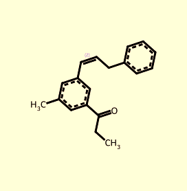 CCC(=O)c1cc(C)cc(/C=C\Cc2ccccc2)c1